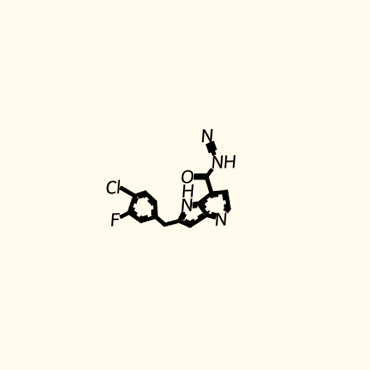 N#CNC(=O)c1ccnc2cc(Cc3ccc(Cl)c(F)c3)[nH]c12